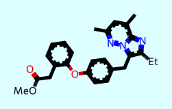 CCc1nc2c(C)cc(C)nn2c1Cc1ccc(Oc2ccccc2CC(=O)OC)cc1